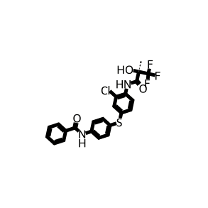 C[C@@](O)(C(=O)Nc1ccc(Sc2ccc(NC(=O)c3ccccc3)cc2)cc1Cl)C(F)(F)F